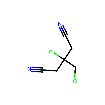 N#CCC(Cl)(CCl)CC#N